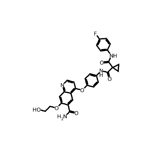 NC(=O)c1cc2c(Oc3ccc(NC(=O)C4(C(=O)Nc5ccc(F)cc5)CC4)cc3)ccnc2cc1OCCO